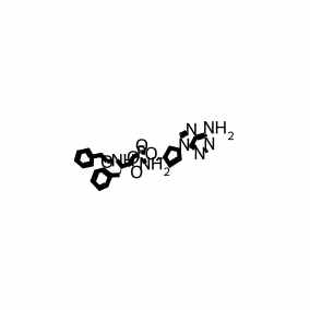 Nc1ncnc2c1ncn2[C@@H]1C=C[C@H](COP(N)(=O)OC(=O)[C@H](Cc2ccccc2)NOCc2ccccc2)C1